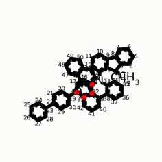 CC1(C)c2ccccc2-c2cccc(N(c3ccc(-c4ccc(-c5ccccc5)cc4)cc3)c3ccccc3-c3cccc4oc5c6ccccc6ccc5c34)c21